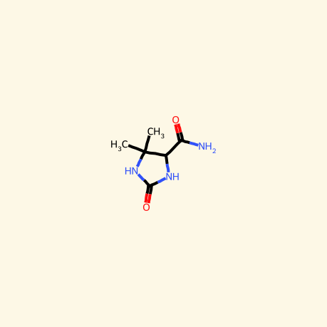 CC1(C)NC(=O)NC1C(N)=O